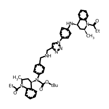 CCC(=O)N1c2ccccc2[C@H](N(C(=O)OC(C)(C)C)c2ccc(CNCc3cn(-c4ccc(N[C@@H]5C[C@H](C)N(C(=O)CC)c6ccccc65)cc4)nn3)cc2)C[C@@H]1C